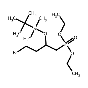 CCOP(=O)(CC(CCBr)O[Si](C)(C)C(C)(C)C)OCC